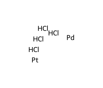 Cl.Cl.Cl.Cl.[Pd].[Pt]